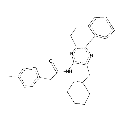 Cc1ccc(CC(=O)Nc2nc3c(nc2CC2CCCCC2)-c2ccccc2CC3)cc1